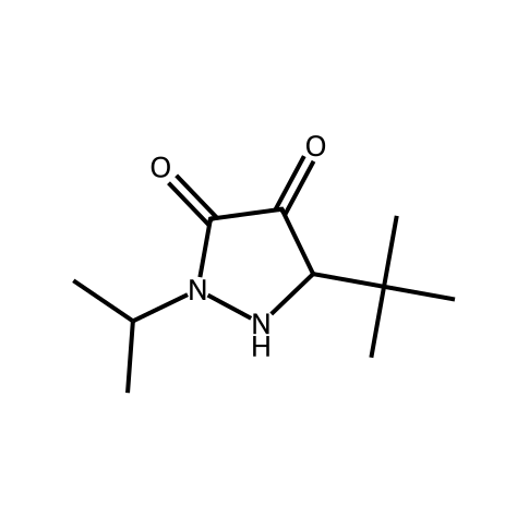 CC(C)N1NC(C(C)(C)C)C(=O)C1=O